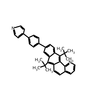 CC(C)(C)c1c2cc(-c3ccc(-c4ccncc4)cc3)ccc2c(C(C)(C)C)c2c1ccc1cccnc12